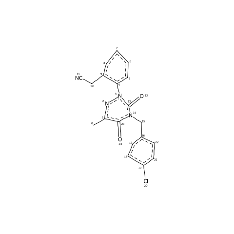 Cc1nn(-c2ccccc2CC#N)c(=O)n(Cc2ccc(Cl)cc2)c1=O